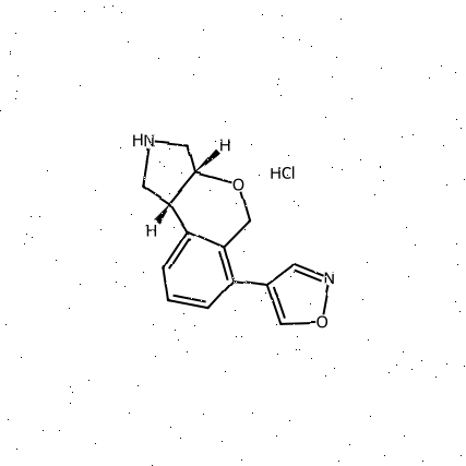 Cl.c1cc(-c2cnoc2)c2c(c1)[C@@H]1CNC[C@@H]1OC2